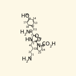 NCCCCC(NC(=O)C(N)Cc1ccc(O)cc1)C(=O)N1CCCC1C(=O)O